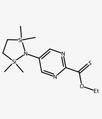 CCOC(=S)c1ncc(N2[Si](C)(C)CC[Si]2(C)C)cn1